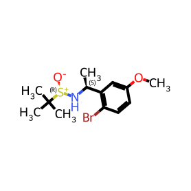 COc1ccc(Br)c([C@H](C)N[S@@+]([O-])C(C)(C)C)c1